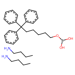 CCCCN.CCCCN.OB(O)OCCCCCC(c1ccccc1)(c1ccccc1)c1ccccc1